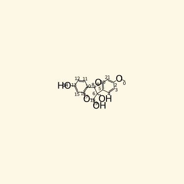 COc1ccc(C2(O)C(=O)c3ccc(O)cc3OC2O)cc1